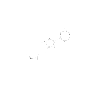 O=C(O)NCCc1nc(-c2cccnc2)c[nH]1